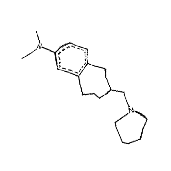 CN(C)c1ccc2c(c1)CCC(CN1CCCC1)C2